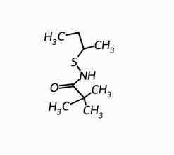 CCC(C)SNC(=O)C(C)(C)C